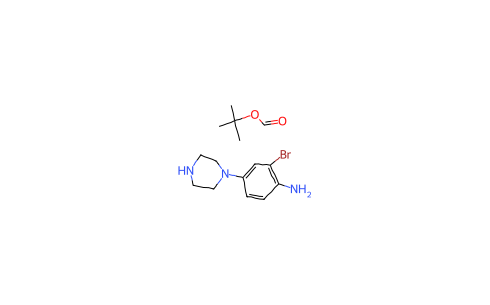 CC(C)(C)OC=O.Nc1ccc(N2CCNCC2)cc1Br